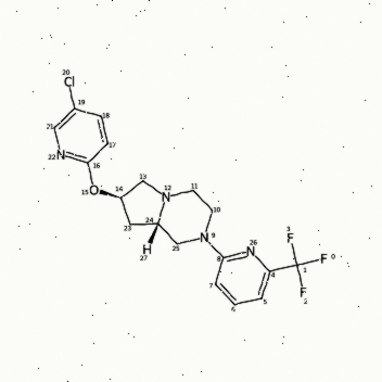 FC(F)(F)c1cccc(N2CCN3C[C@H](Oc4ccc(Cl)cn4)C[C@H]3C2)n1